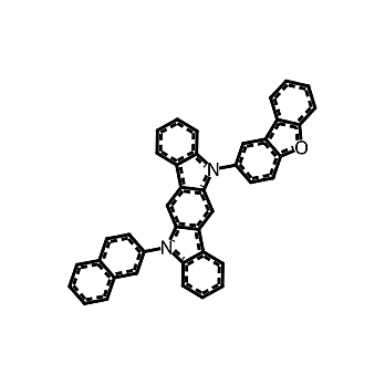 c1ccc2cc(-n3c4ccccc4c4cc5c(cc43)c3ccccc3n5-c3ccc4oc5ccccc5c4c3)ccc2c1